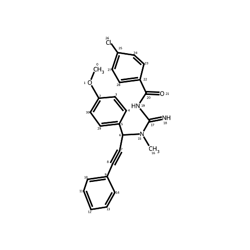 COc1ccc(C(C#Cc2ccccc2)N(C)C(=N)NC(=O)c2ccc(Cl)cc2)cc1